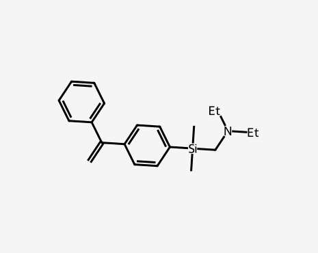 C=C(c1ccccc1)c1ccc([Si](C)(C)CN(CC)CC)cc1